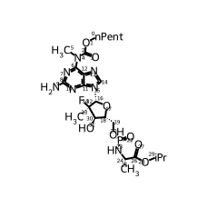 CCCCCOC(=O)N(C)c1nc(N)nc2c1ncn2[C@@H]1O[C@H](CO[PH](=O)N[C@@H](C)C(=O)OC(C)C)[C@@H](O)[C@@]1(C)F